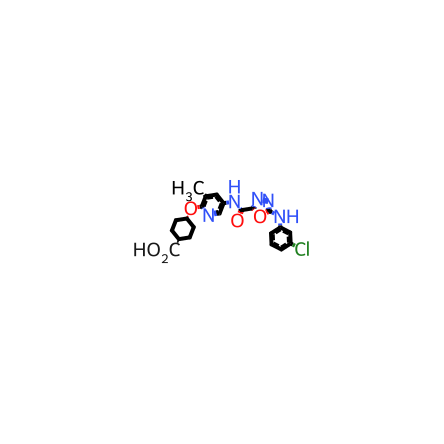 Cc1cc(NC(=O)c2nnc(Nc3cccc(Cl)c3)o2)cnc1O[C@H]1CC[C@@H](C(=O)O)CC1